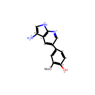 COc1cc(-c2cnc3[nH]cc(N)c3c2)ccc1O